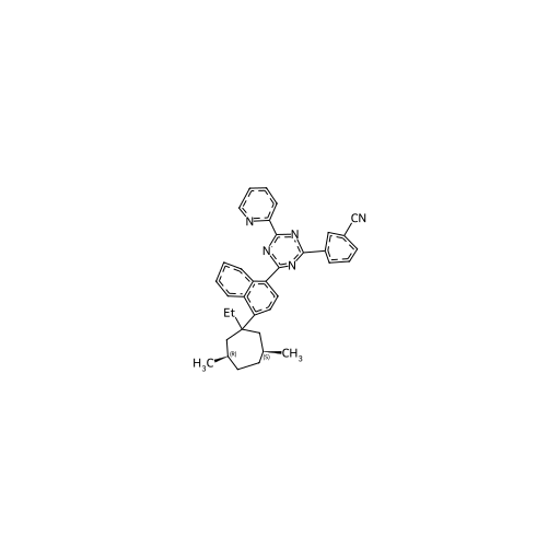 CCC1(c2ccc(-c3nc(-c4cccc(C#N)c4)nc(-c4ccccn4)n3)c3ccccc23)C[C@H](C)CC[C@H](C)C1